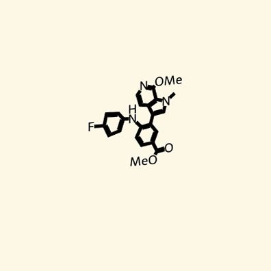 COC(=O)c1ccc(Nc2ccc(F)cc2)c(-c2cn(C)c3c(OC)nccc23)c1